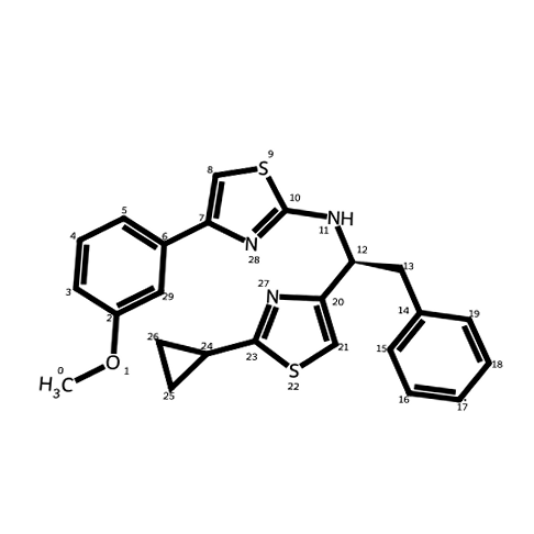 COc1cccc(-c2csc(N[C@@H](Cc3cc[c]cc3)c3csc(C4CC4)n3)n2)c1